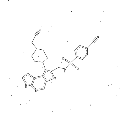 N#CCC1CCC(n2c(CNS(=O)(=O)c3ccc(C#N)cc3)nc3cnc4[nH]ccc4c32)CC1